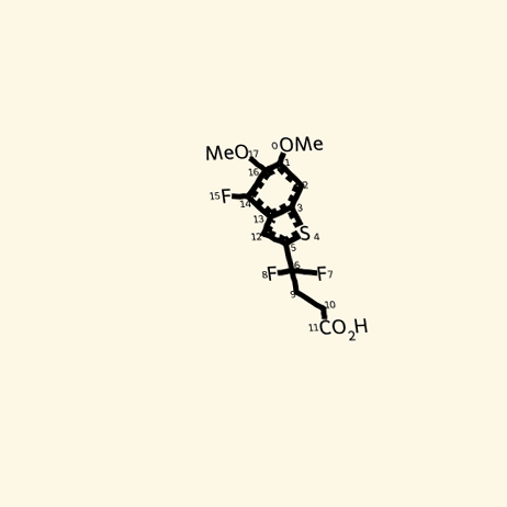 COc1cc2sc(C(F)(F)CCC(=O)O)cc2c(F)c1OC